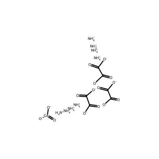 O=C([O-])C(=O)[O-].O=C([O-])C(=O)[O-].O=C([O-])C(=O)[O-].[NH4+].[NH4+].[NH4+].[NH4+].[NH4+].[NH4+].[NH4+].[NH4+].[O]=[Ge]([O-])[O-]